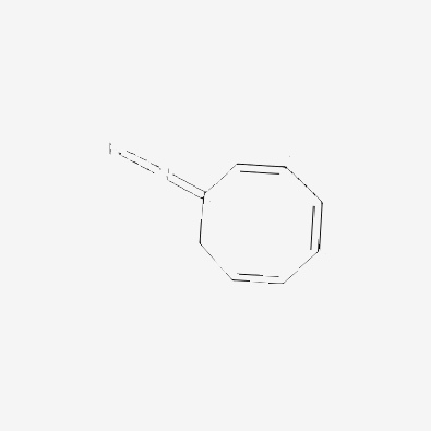 [N-]=[N+]=C1C=CC=CC=CC1